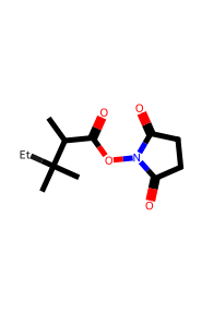 CCC(C)(C)C(C)C(=O)ON1C(=O)CCC1=O